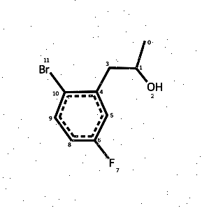 CC(O)Cc1cc(F)ccc1Br